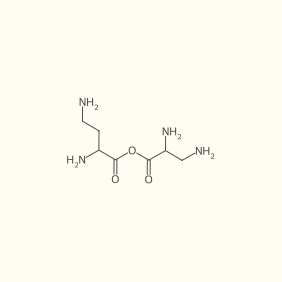 NCCC(N)C(=O)OC(=O)C(N)CN